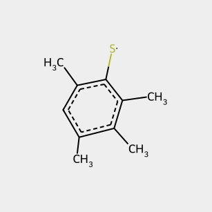 Cc1cc(C)c([S])c(C)c1C